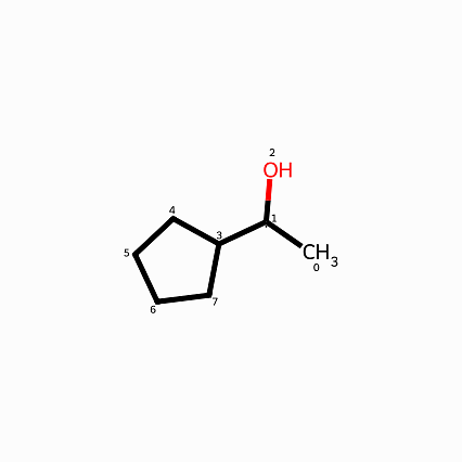 C[C](O)C1CCCC1